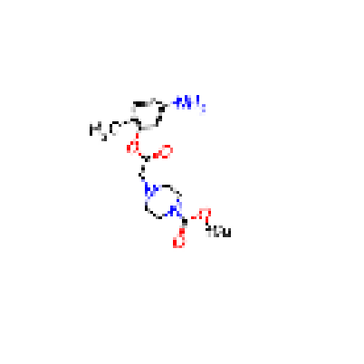 Cc1ccc(N)cc1OC(=O)CN1CCN(C(=O)OC(C)(C)C)CC1